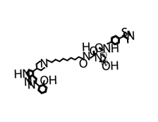 Cc1ncsc1-c1ccc(CNC(=O)[C@@H]2C[C@@H](O)CN2C(=O)CNC(=O)CCCCCCCCCN2CCC(c3c[nH]c4nnc(-c5ccccc5O)cc34)CC2)cc1